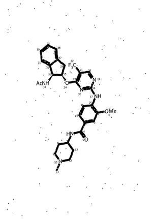 COc1cc(C(=O)NC2CCN(C)CC2)ccc1Nc1ncc(C(F)(F)F)c(O[C@@H]2Cc3ccccc3[C@@H]2NC(C)=O)n1